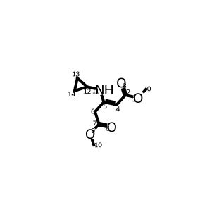 COC(=O)/C=C(/CC(=O)OC)NC1CC1